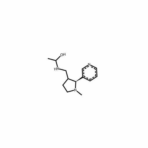 CC(O)NCC1CCN(C)[C@@H]1c1cccnc1